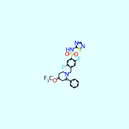 O=S(=O)(Nc1ncns1)c1cc(F)c(CN2CC[C@H](OC(F)(F)F)C[C@@H]2c2ccccc2)cc1F